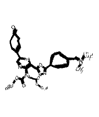 CN(Cc1ccc(-c2nnc(-c3nc(C4=CCC(=O)CC4)cnc3N(C(=O)OC(C)(C)C)C(=O)OC(C)(C)C)o2)cc1)C(=O)O